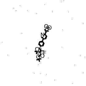 CC(C)(C)OC(=O)N1[C@H](CF)[C@@H](c2ccc(-c3ccc(C4=CS(=O)(=O)C4)nc3)cc2)OC1(C)C